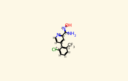 NC(=NO)c1cc(-c2c(Cl)cccc2C(F)(F)F)ccn1